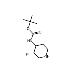 CC(C)(C)OC(=O)NC1CCNC[C@@H]1F